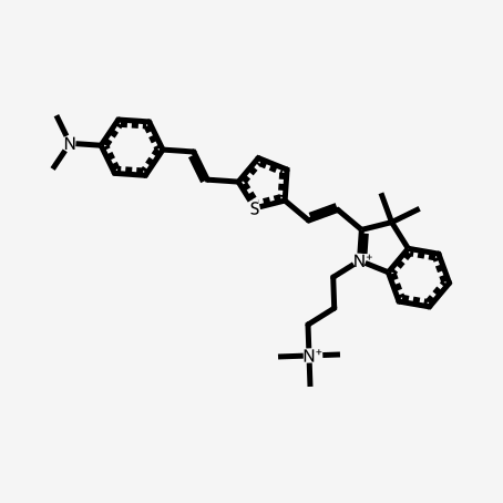 CN(C)c1ccc(/C=C/c2ccc(/C=C/C3=[N+](CCC[N+](C)(C)C)c4ccccc4C3(C)C)s2)cc1